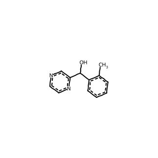 Cc1ccccc1C(O)c1cnccn1